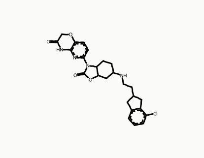 O=C1COc2ccc(N3C(=O)OC4CC(NCCC5Cc6cccc(Cl)c6C5)CCC43)nc2N1